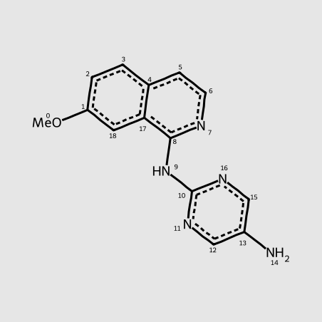 COc1ccc2ccnc(Nc3ncc(N)cn3)c2c1